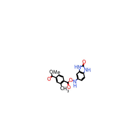 COC(=O)c1ccc(C(=O)ONc2ccc3[nH]c(=O)[nH]c3c2)c(C)c1